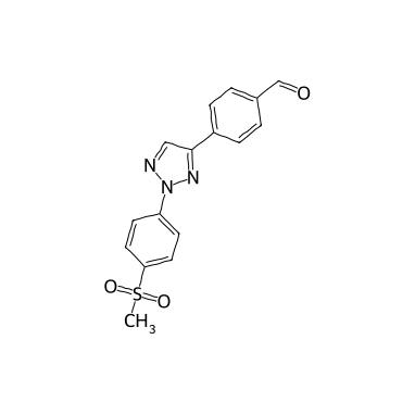 CS(=O)(=O)c1ccc(-n2ncc(-c3ccc(C=O)cc3)n2)cc1